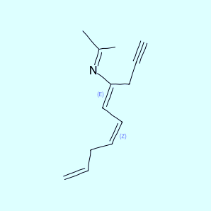 C#CC/C(=C\C=C/CC=C)N=C(C)C